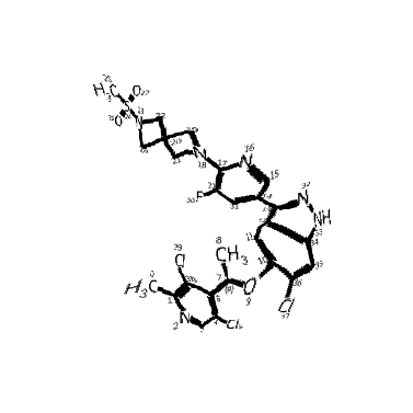 Cc1ncc(Cl)c([C@@H](C)Oc2cc3c(-c4cnc(N5CC6(C5)CN(S(C)(=O)=O)C6)c(F)c4)n[nH]c3cc2Cl)c1Cl